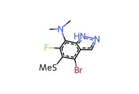 CSc1c(F)c(N(C)C)c2[nH]ncc2c1Br